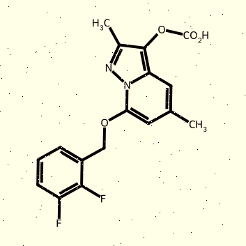 Cc1cc(OCc2cccc(F)c2F)n2nc(C)c(OC(=O)O)c2c1